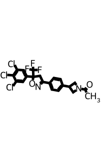 CC(=O)N1CC(c2ccc(C3=NOC(c4cc(Cl)c(Cl)c(Cl)c4)(C(F)(F)F)C3)cc2)C1